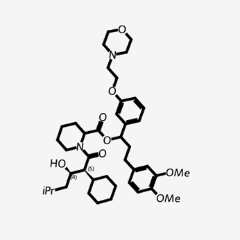 COc1ccc(CCC(OC(=O)C2CCCCN2C(=O)[C@@H](C2CCCCC2)[C@H](O)CC(C)C)c2cccc(OCCN3CCOCC3)c2)cc1OC